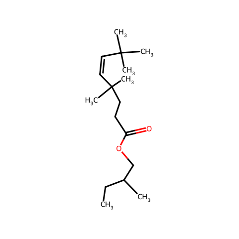 CCC(C)COC(=O)CCC(C)(C)/C=C\C(C)(C)C